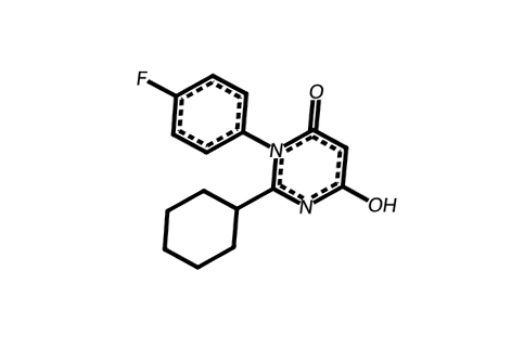 O=c1cc(O)nc(C2CCCCC2)n1-c1ccc(F)cc1